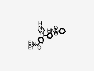 CCN(CC)C(=O)c1ccc([C@H](c2cccc(NS(=O)(=O)c3ccccc3)c2)N2CCNCC2)cc1